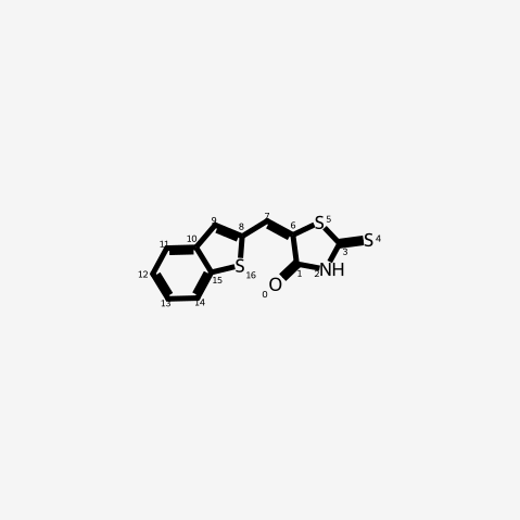 O=C1NC(=S)SC1=Cc1cc2ccccc2s1